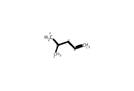 [CH2]C(C)CC=C